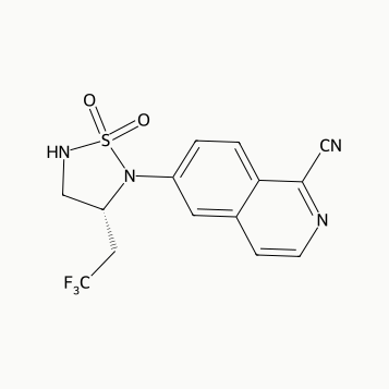 N#Cc1nccc2cc(N3[C@H](CC(F)(F)F)CNS3(=O)=O)ccc12